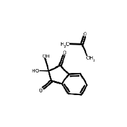 CC(C)=O.O=C1c2ccccc2C(=O)C1(O)O